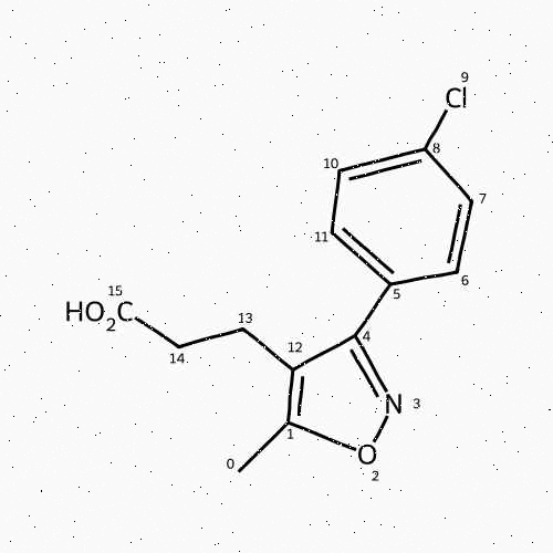 Cc1onc(-c2ccc(Cl)cc2)c1CCC(=O)O